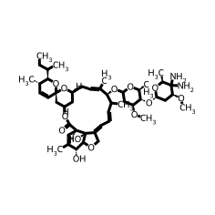 CCC(C)[C@H]1O[C@]2(C=C[C@@H]1C)C[C@@H]1C[C@@H](C/C=C(\C)[C@@H](OC3C[C@H](OC)[C@@H](O[C@H]4C[C@H](OC)C(N)(N)[C@H](C)O4)[C@H](C)O3)C(C)/C=C/C=C3\COC4[C@H](O)C(C)=C[C@@H](C(=O)O1)[C@]34O)O2